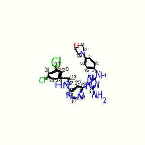 Nc1nc(Nc2ccc(N3CCOCC3)cc2)nn1-c1cc(NCc2cc(Cl)cc(Cl)c2)ncn1